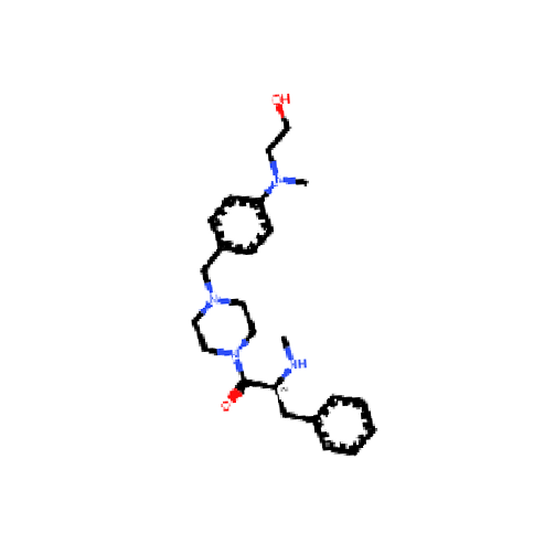 CN[C@@H](Cc1ccccc1)C(=O)N1CCN(Cc2ccc(N(C)CCO)cc2)CC1